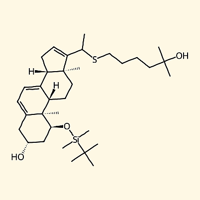 CC(SCCCCC(C)(C)O)C1=CC[C@H]2C3=CC=C4C[C@@H](O)C[C@H](O[Si](C)(C)C(C)(C)C)[C@]4(C)[C@H]3CC[C@]12C